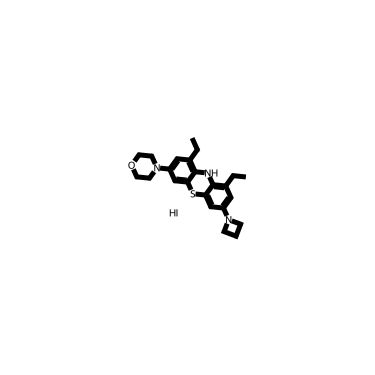 CCc1cc(N2CCC2)cc2c1Nc1c(CC)cc(N3CCOCC3)cc1S2.I